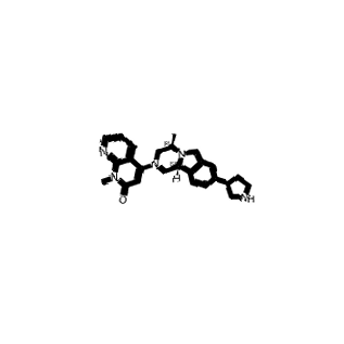 C[C@@H]1CN(c2cc(=O)n(C)c3ncccc23)C[C@@H]2c3ccc(C4CCNC4)cc3CN12